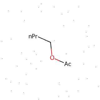 [CH]C(=O)OCCCC